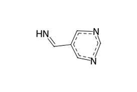 N=Cc1cncnc1